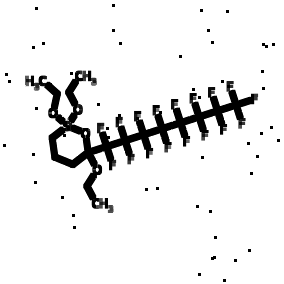 CCOC1(C(F)(F)C(F)(F)C(F)(F)C(F)(F)C(F)(F)C(F)(F)C(F)(F)C(F)(F)F)CCC[Si](OCC)(OCC)O1